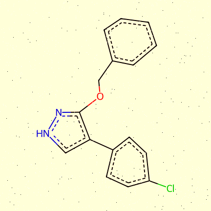 Clc1ccc(-c2c[nH]nc2OCc2ccccc2)cc1